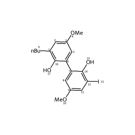 CCCCc1cc(OC)cc(-c2cc(OC)cc(I)c2O)c1O